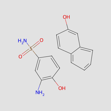 Nc1cc(S(N)(=O)=O)ccc1O.Oc1ccc2ccccc2c1